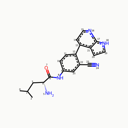 CC(C)C[C@@H](N)C(=O)Nc1ccc(-c2ccnc3[nH]ccc23)c(C#N)c1